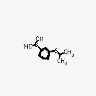 CC(C)Sc1cccc(B(O)O)c1